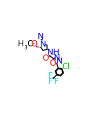 COC[C@@H]1C[C@@H](NC(=O)c2nnc(-c3cc(C(F)(F)F)ccc3Cl)o2)CN1C#N